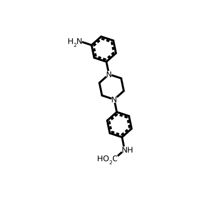 Nc1cccc(N2CCN(c3ccc(NC(=O)O)cc3)CC2)c1